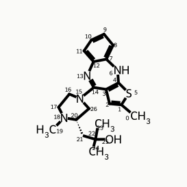 Cc1cc2c(s1)Nc1ccccc1N=C2N1CCN(C)[C@@H](CC(C)(C)O)C1